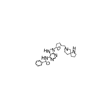 O=C(Nc1ncnc2c1NCN2C1CCC(CN2CCC3(CCCN3)C2)O1)c1ccccc1